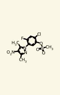 Cc1nn(-c2cc(OS(C)(=O)=O)c(Cl)cc2F)c(C)c1[N+](=O)[O-]